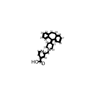 O=C(O)c1ccnc(CN2CCC(=C3c4ccccc4CCc4ccccc43)CC2)c1